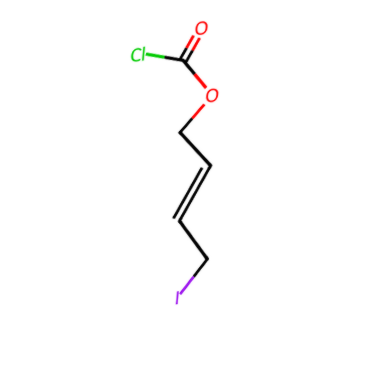 O=C(Cl)OCC=CCI